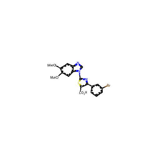 COc1cc2ncn(-c3nc(-c4cccc(Br)c4)c(C(=O)O)s3)c2cc1OC